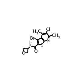 Cc1nc2sc(C(=O)NC3COC3)c(Br)c2c(C)c1Cl